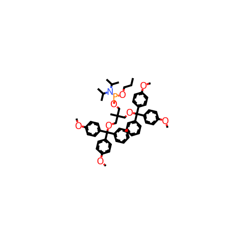 CCCOP(OCC(C)(COC(c1ccccc1)(c1ccc(OC)cc1)c1ccc(OC)cc1)COC(c1ccccc1)(c1ccc(OC)cc1)c1ccc(OC)cc1)N(C(C)C)C(C)C